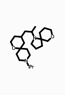 CC(C)N1CCC2(CC1)CC(CC(C)N1CCCC13CCCOC3)CCO2